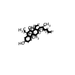 CC[C@@H]1C2C[C@H](O)CC[C@@]2(C)[C@H]2CC[C@]3(C)[C@@H]([C@H](C)CCCI)CC[C@H]3C2[C@@H]1O